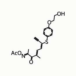 C#C/C(=C\C=C(/C)C(=O)/C(C)=N/OC(C)=O)Sc1ccc(OCCO)cc1